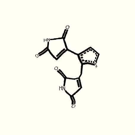 O=C1C=C(c2ccsc2C2=CC(=O)NC2=O)C(=O)N1